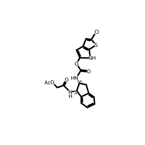 CC(=O)OCC(=O)N[C@@H]1c2ccccc2C[C@H]1NC(=O)Oc1cc2cc(Cl)sc2[nH]1